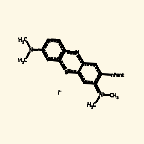 CCCCCc1cc2nc3ccc(N(C)C)cc3sc-2cc1=[N+](C)C.[I-]